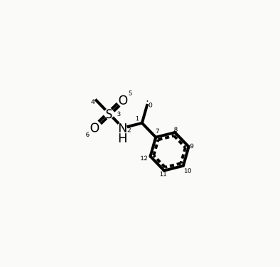 [CH2]C(NS(C)(=O)=O)c1ccccc1